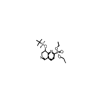 CCOP(=O)(OCC)c1ccc2c(n1)C(O[Si](C)(C)C(C)(C)C)CN=C2